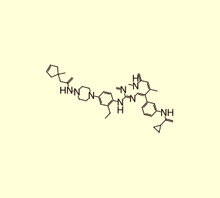 C=N\C(=N/C=C(/C(C)=C\C(=C)NC)c1cccc(NC(=C)C2CC2)c1)Nc1ccc(N2CCN(NC(=C)CC3(C)CC=CC3)CC2)cc1CC